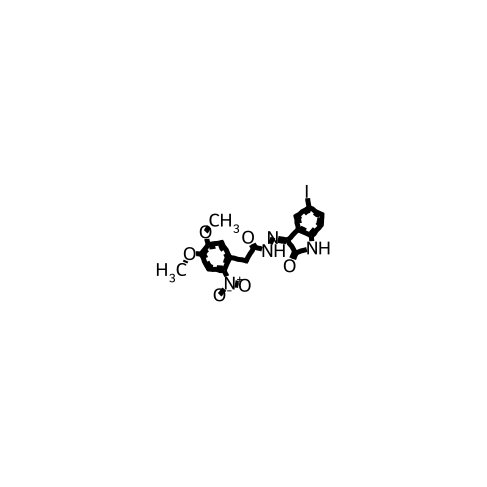 COc1cc(CC(=O)N/N=C2\C(=O)Nc3ccc(I)cc32)c([N+](=O)[O-])cc1OC